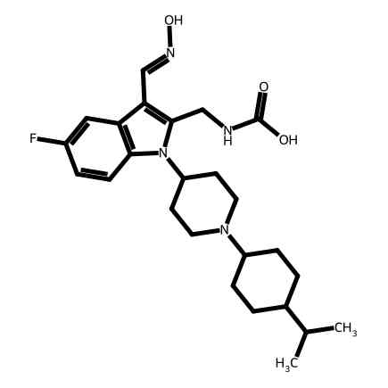 CC(C)C1CCC(N2CCC(n3c(CNC(=O)O)c(C=NO)c4cc(F)ccc43)CC2)CC1